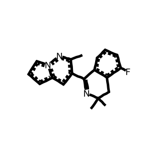 Cc1nn2cccc2cc1C1=NC(C)(C)Cc2c(F)cccc21